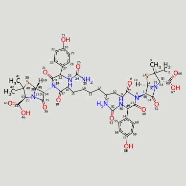 CC1(C)S[C@@H]2[C@H](N(C(=O)CCCCCCCCC(=O)N(C(=O)C(NC(N)=O)c3ccc(O)cc3)[C@@H]3C(=O)N4[C@@H]3SC(C)(C)[C@@H]4C(=O)O)C(=O)C(NC(N)=O)c3ccc(O)cc3)C(=O)N2[C@H]1C(=O)O